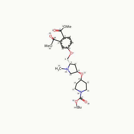 COC(=O)c1ccc(OC[C@@H]2C[C@@H](OC3CCN(C(=O)OC(C)(C)C)CC3)CN2C)cc1C(=O)OC